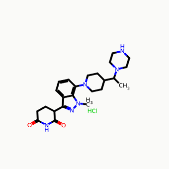 CC(C1CCN(c2cccc3c(C4CCC(=O)NC4=O)nn(C)c23)CC1)N1CCNCC1.Cl